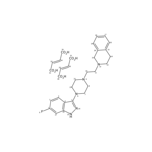 Fc1ccc2c(N3CCN(CCN4CCc5ccccc5C4)CC3)n[nH]c2c1.O=C(O)/C=C/C(=O)O.O=C(O)/C=C/C(=O)O